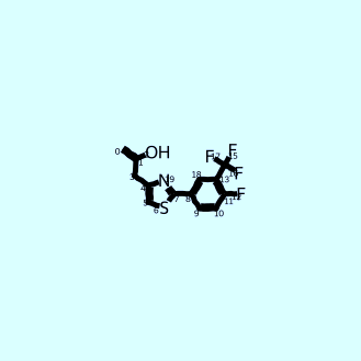 C=C(O)Cc1csc(-c2ccc(F)c(C(F)(F)F)c2)n1